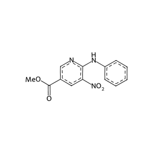 COC(=O)c1cnc(Nc2ccccc2)c([N+](=O)[O-])c1